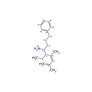 C=C(C)/C=C(/C)C(CC)C(N)CCCc1ccccc1